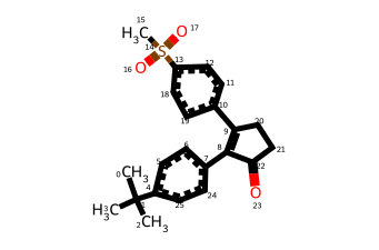 CC(C)(C)c1ccc(C2=C(c3ccc(S(C)(=O)=O)cc3)CCC2=O)cc1